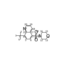 CC(C)(C)c1ccc(S(=O)(=O)N2CCOCC2)c2cccnc12